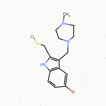 CN1CCN(Cc2c(CSCl)[nH]c3ccc(Br)cc23)CC1